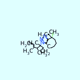 C=CC(C)C(C)C(C)(C=C)n1nnc2c1CCCCCC2(F)C(=C)C